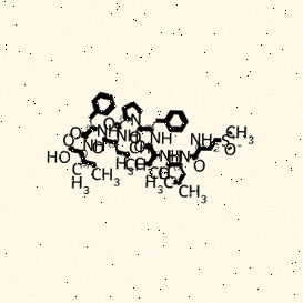 CC[C@H](C)[C@H](NC(=O)[C@H](Cc1ccccc1)NC(=O)[C@H](CC(C)C)NC(=O)[C@@H]1CCCN1C(=O)[C@H](Cc1ccccc1)NC(=O)[C@@H](NC(=O)[C@H](CC(C)C)NC(=O)[C@@H](N)CC[S+](C)[O-])C(C)C)C(=O)O